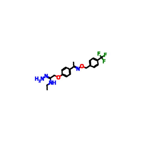 CCN/C(COc1ccc(/C(C)=N/OCc2ccc(C(F)(F)F)cc2)cc1)=N\N